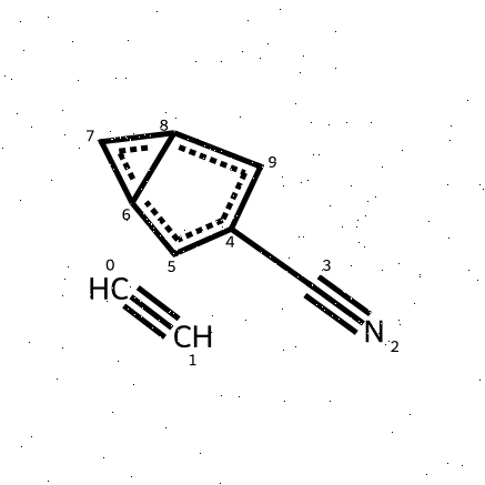 C#C.N#Cc1cc2cc-2c1